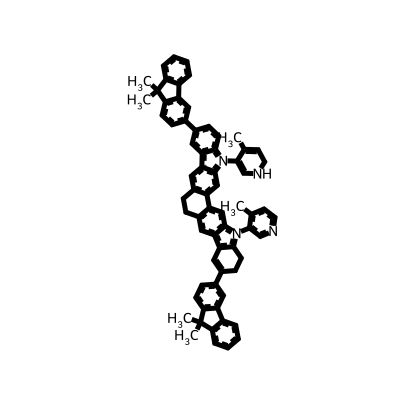 CC1=CCNC=C1n1c2ccc(-c3ccc4c(c3)-c3ccccc3C4(C)C)cc2c2cc3c(cc21)-c1cc2c(cc1CC3)c1c(n2-c2cnccc2C)CCC(c2ccc3c(c2)-c2ccccc2C3(C)C)=C1